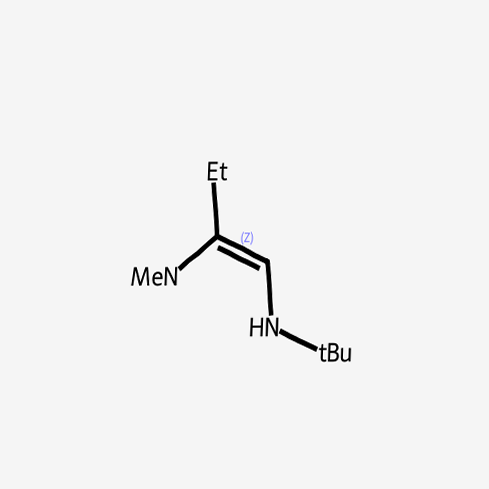 CC/C(=C/NC(C)(C)C)NC